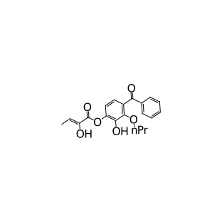 CC=C(O)C(=O)Oc1ccc(C(=O)c2ccccc2)c(OCCC)c1O